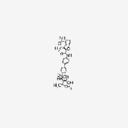 Cc1c(C(=O)Nc2ccc(-c3ccc(S(=O)(=O)N[C@H](C(=O)O)C(C)C)cc3)cc2)oc2cccc(C(N)=O)c12